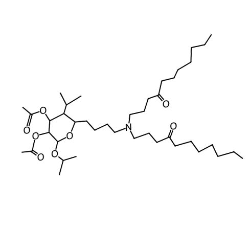 CCCCCCCC(=O)CCCN(CCCCC1OC(OC(C)C)C(OC(C)=O)C(OC(C)=O)C1C(C)C)CCCC(=O)CCCCCCC